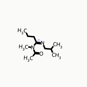 CCC/C(=N/CC(C)C)N(C)C(C)=O